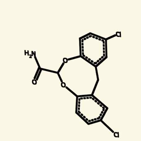 NC(=O)C1Oc2ccc(Cl)cc2Cc2cc(Cl)ccc2O1